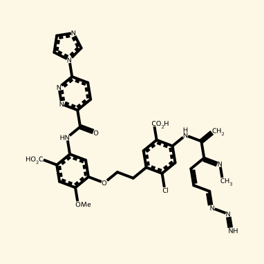 C=C(Nc1cc(Cl)c(CCOc2cc(NC(=O)c3ccc(-n4ccnc4)nn3)c(C(=O)O)cc2OC)cc1C(=O)O)C(/C=C\C=N\N=N)=N/C